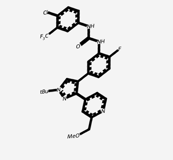 COCc1cc(-c2nn(C(C)(C)C)cc2-c2ccc(F)c(NC(=O)Nc3ccc(Cl)c(C(F)(F)F)c3)c2)ccn1